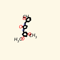 COc1cc(/C=C2\CC/C(=C\c3ccccc3OC)C2=O)cc(OC)c1